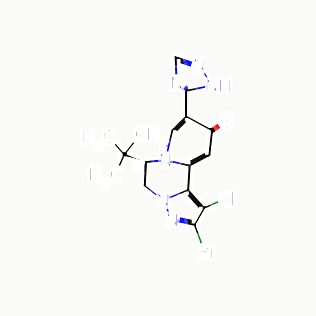 CC(C)(C)[C@@H]1Cn2nc(Br)c(Cl)c2-c2cc(=O)c(-c3ncn[nH]3)cn21